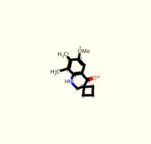 COc1cc2c(c(C)c1C)NCC1(CCC1)C2=O